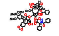 CC(=O)O[C@H]1C(=O)[C@@]2(C)[C@H]([C@H](OC(=O)c3ccccc3)[C@]3(O)C[C@H](OC(=O)[C@H](O)[C@@H](NC(=O)c4ccccc4)c4ccccc4)C(C)=C1C3(C)C)[C@]1(OC(C)=O)CO[C@@H]1C[C@@H]2O.COc1cc([C@@H]2c3cc4c(cc3[C@H](O)[C@H]3COC(=O)[C@H]23)OCO4)cc(OC)c1OC